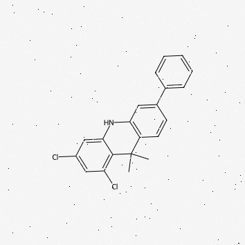 CC1(C)c2ccc(-c3ccccc3)cc2Nc2cc(Cl)cc(Cl)c21